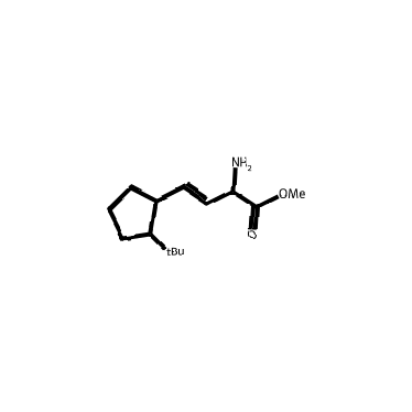 COC(=O)C(N)C=CC1CCCC1C(C)(C)C